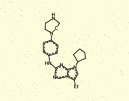 CCc1cn(C2CCCC2)c2nc(Nc3ccc(N4CCNCC4)cc3)ncc12